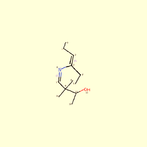 CC/C=C(CC)\N=C/C(C)(C)C(C)O